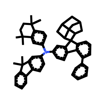 CC1(C)CCC(C)(C)c2cc(N(c3ccc4c(c3)C(C)(C)c3ccccc3-4)c3ccc4c(c3)C3(c5cccc(-c6ccccc6)c5-4)C4CC5CC6CC3C64C5)ccc21